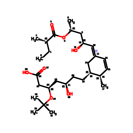 CC[C@H](C)C(=O)O[C@H](C)C[C@H](O)/C=C1/C=C[C@H](C)[C@H](CC[C@@H](O)C[C@H](CC(=O)O)OC(C)(C)C)C1